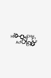 CC(=O)N1CCC(CN(C)c2ccc(-c3cn[nH]c3)cc2)(N(C=O)Cc2cccc(F)c2C)CC1